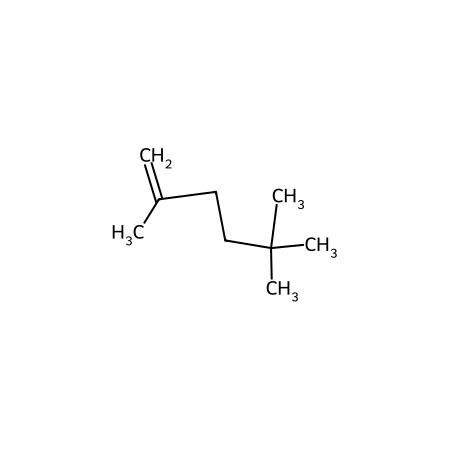 C=C(C)CCC(C)(C)C